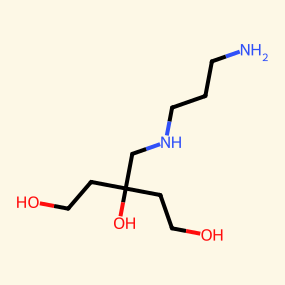 NCCCNCC(O)(CCO)CCO